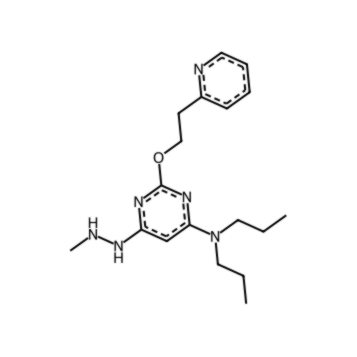 CCCN(CCC)c1cc(NNC)nc(OCCc2ccccn2)n1